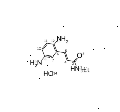 CCNC(=O)/C=C/c1cc(N)ccc1N.Cl